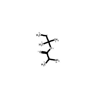 CCC(C)(C)OC(=O)C(C)N